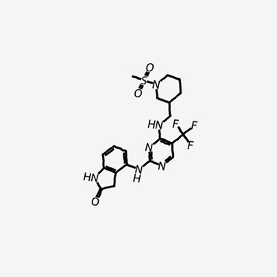 CS(=O)(=O)N1CCCC(CNc2nc(Nc3cccc4c3CC(=O)N4)ncc2C(F)(F)F)C1